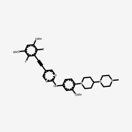 COc1cc(Nc2ncc(C#Cc3c(F)c(OC)cc(OC)c3F)cn2)ccc1N1CCC(N2CCN(C)CC2)CC1